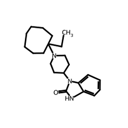 CCC1(N2CCC(n3c(=O)[nH]c4ccccc43)CC2)CCCCCCC1